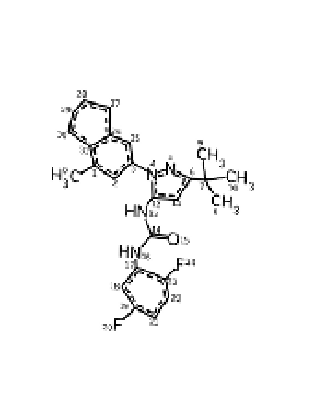 Cc1cc(-n2nc(C(C)(C)C)cc2NC(=O)Nc2cc(F)ccc2F)cc2ccccc12